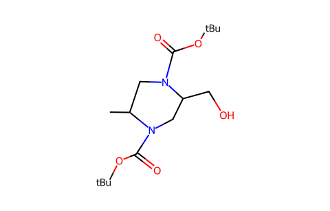 CC1CN(C(=O)OC(C)(C)C)C(CO)CN1C(=O)OC(C)(C)C